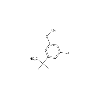 CC(C)(C)Oc1cc(F)cc(C(C)(C)C(=O)O)c1